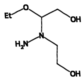 CCOC(CO)N(N)CCO